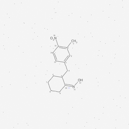 Cc1cc(CC2CCCC/C2=N/O)ccc1[N+](=O)[O-]